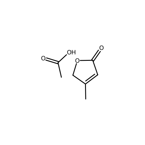 CC(=O)O.CC1=CC(=O)OC1